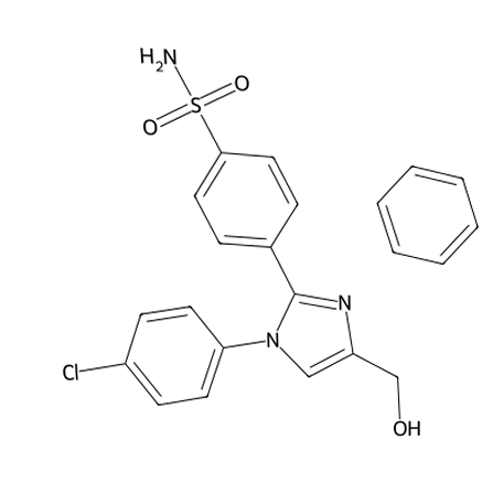 NS(=O)(=O)c1ccc(-c2nc(CO)cn2-c2ccc(Cl)cc2)cc1.c1ccccc1